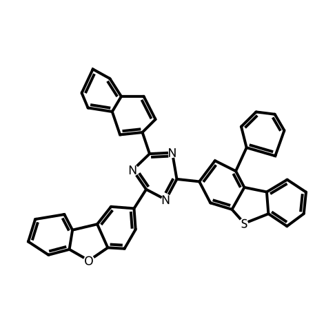 c1ccc(-c2cc(-c3nc(-c4ccc5ccccc5c4)nc(-c4ccc5oc6ccccc6c5c4)n3)cc3sc4ccccc4c23)cc1